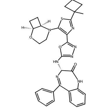 CC1(c2nc(-c3nnc(N[C@H]4N=C(c5ccccc5)c5ccccc5NC4=O)o3)c(N3CCO[C@H]4CC[C@H]43)s2)CCC1